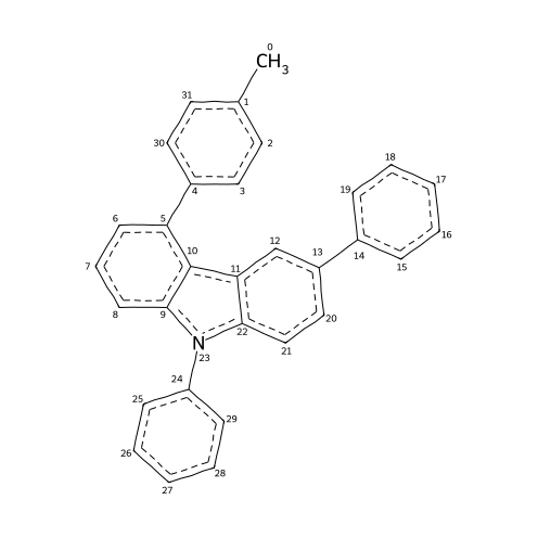 Cc1ccc(-c2cccc3c2c2cc(-c4ccccc4)ccc2n3-c2ccccc2)cc1